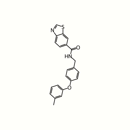 Cc1cccc(Oc2ccc(CNC(=O)c3ccc4ncsc4c3)cc2)c1